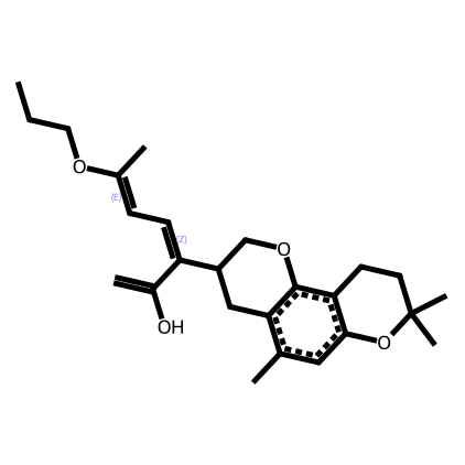 C=C(O)/C(=C\C=C(/C)OCCC)C1COc2c(c(C)cc3c2CCC(C)(C)O3)C1